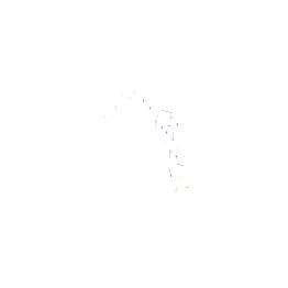 CS(=O)(=O)c1ccc(N2CCN(c3nccc(C(=O)NC4C5CC6CC4CC(O)(C6)C5)n3)CC2)cc1